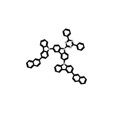 c1ccc(-c2nc(-c3ccccc3)nc(-n3c4ccc(-n5c6ccccc6c6cc(-c7ccc8ccccc8c7)ccc65)cc4c4cc(-n5c6ccccc6c6cc(-c7ccc8ccccc8c7)ccc65)ccc43)n2)cc1